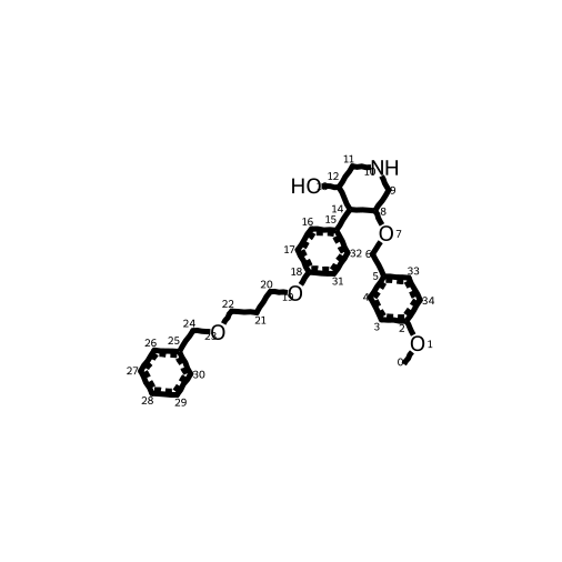 COc1ccc(COC2CNCC(O)C2c2ccc(OCCCOCc3ccccc3)cc2)cc1